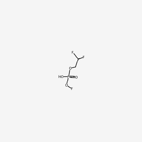 O=P(O)(OF)OCC(F)F